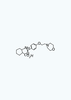 O=C(NC1CCCCC1C(=O)O)c1ccc(OCCN2CCOCC2)cc1